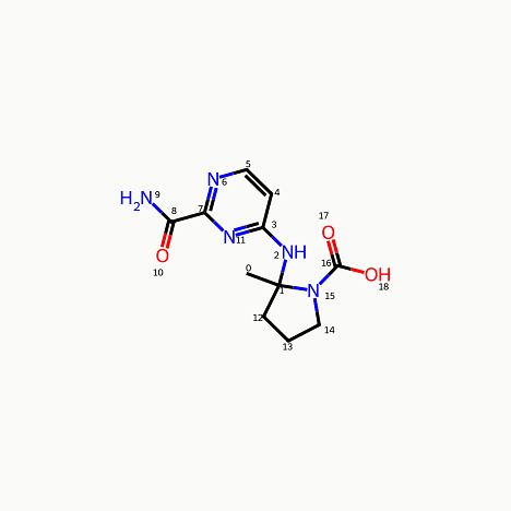 CC1(Nc2ccnc(C(N)=O)n2)CCCN1C(=O)O